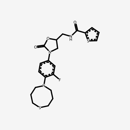 O=C(NCC1CN(c2ccc(N3CCCSCCC3)c(F)c2)C(=O)O1)c1cccs1